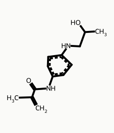 C=C(C)C(=O)Nc1ccc(NCC(C)O)cc1